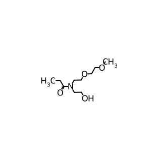 CCC(=O)N(CCO)CCOCCOC